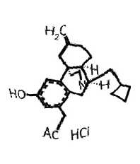 C=C1CC[C@H]2[C@H]3Cc4c(CC(C)=O)cc(O)cc4[C@@]2(CCN3CC2CCC2)C1.Cl